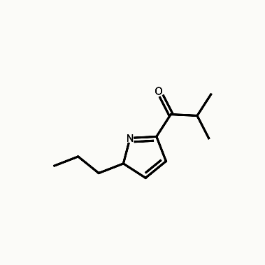 CCCC1C=CC(C(=O)C(C)C)=N1